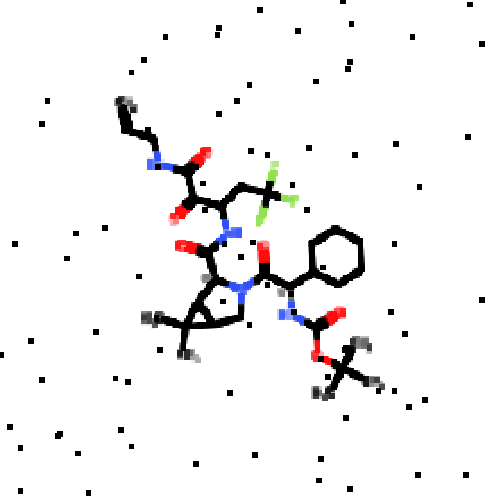 C=CCNC(=O)C(=O)C(CC(F)(F)F)NC(=O)[C@@H]1C2C(CN1C(=O)[C@@H](NC(=O)OC(C)(C)C)C1CCCCC1)C2(C)C